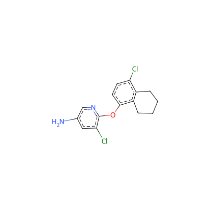 Nc1cnc(Oc2ccc(Cl)c3c2CCCC3)c(Cl)c1